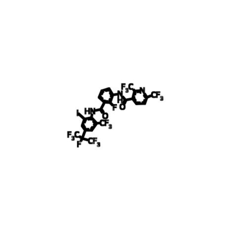 O=C(Nc1cccc(C(=O)Nc2c(I)cc(C(F)(C(F)(F)F)C(F)(F)F)cc2C(F)(F)F)c1F)c1ccc(C(F)(F)F)nc1C(F)(F)F